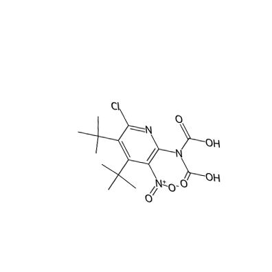 CC(C)(C)c1c(Cl)nc(N(C(=O)O)C(=O)O)c([N+](=O)[O-])c1C(C)(C)C